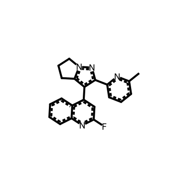 Cc1cccc(-c2nn3c(c2-c2cc(F)nc4ccccc24)CCC3)n1